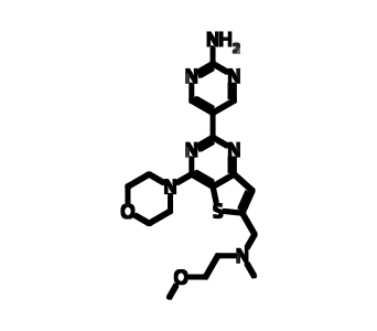 COCCN(C)Cc1cc2nc(-c3cnc(N)nc3)nc(N3CCOCC3)c2s1